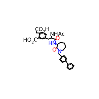 CC(=O)NC(Cc1ccc(CC(=O)O)c(C(=O)O)c1)C(=O)NC1CCCCN(Cc2ccc(-c3ccccc3)cc2)C1=O